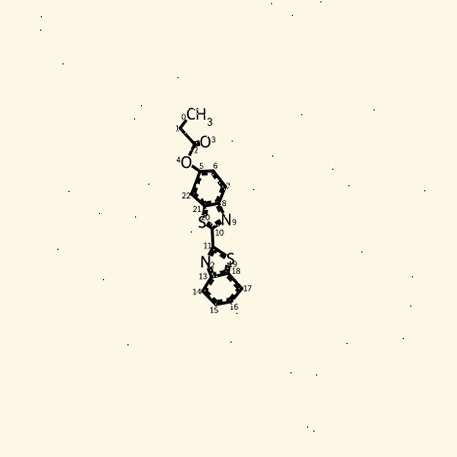 CCC(=O)Oc1ccc2nc(-c3nc4ccccc4s3)sc2c1